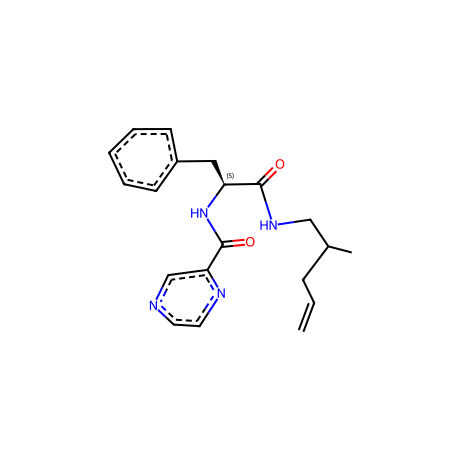 C=CCC(C)CNC(=O)[C@H](Cc1ccccc1)NC(=O)c1cnccn1